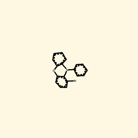 CC(C)c1cccc2c1N(c1ccccc1)c1ccccc1O2